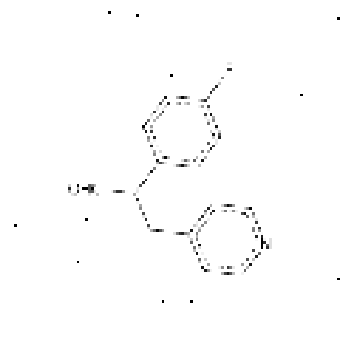 O=CC(Cc1ccncc1)c1ccc(F)cc1